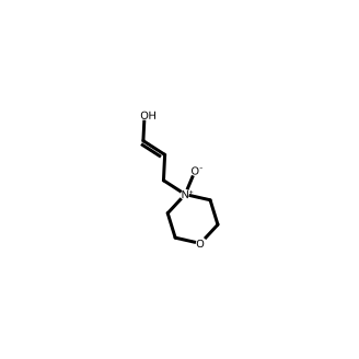 [O-][N+]1(CC=CO)CCOCC1